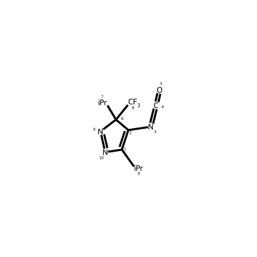 CC(C)C1=C(N=C=O)C(C(C)C)(C(F)(F)F)N=N1